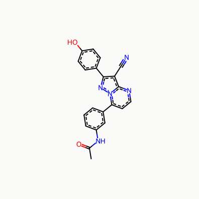 CC(=O)Nc1cccc(-c2ccnc3c(C#N)c(-c4ccc(O)cc4)nn23)c1